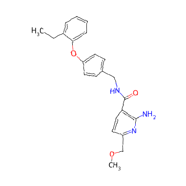 CCc1ccccc1Oc1ccc(CNC(=O)c2ccc(COC)nc2N)cc1